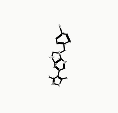 Cc1noc(C)c1-c1cnc2c(c1)NCN2Cc1ccc(F)cc1